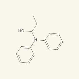 CCC(O)N(c1ccccc1)c1ccccc1